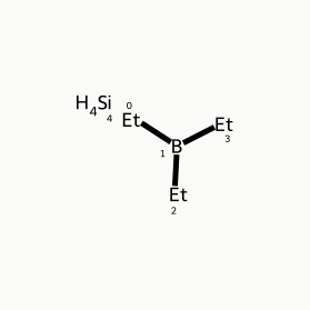 CCB(CC)CC.[SiH4]